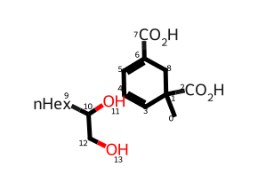 CC1(C(=O)O)C=CC=C(C(=O)O)C1.CCCCCCC(O)CO